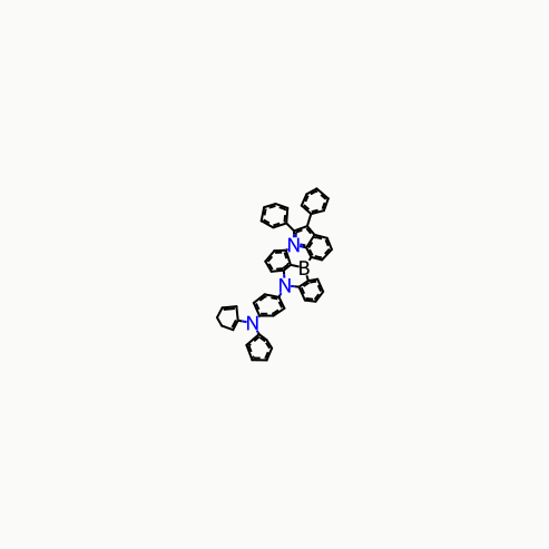 C1=CC(N(c2ccccc2)c2ccc(N3c4ccccc4B4c5c3cccc5-n3c(-c5ccccc5)c(-c5ccccc5)c5cccc4c53)cc2)=CCC1